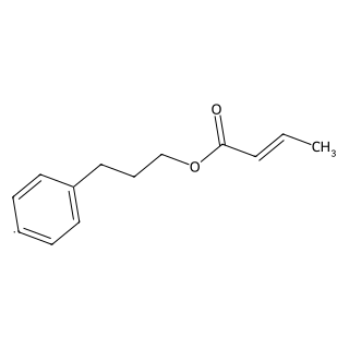 CC=CC(=O)OCCCc1cc[c]cc1